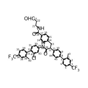 Cc1cc(C(F)(F)F)ccc1-c1ccc(C(Cc2ccc(C(=O)NCCC=O)cc2)C(=O)Nc2ccc(-c3ccc(C(F)(F)F)cc3C)c(Cl)c2)cc1